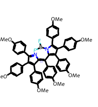 COc1ccc(C2=N/C(=C(/c3ccc(OC)cc3)c3c(-c4ccc(OC)cc4)c(-c4ccc(OC)cc4)c(-c4ccc(OC)cc4)n3B(F)F)C(c3ccc(OC)cc3)=C2c2ccc(OC)cc2)cc1